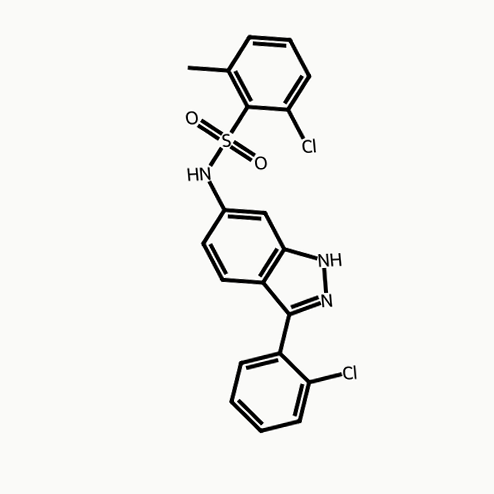 Cc1cccc(Cl)c1S(=O)(=O)Nc1ccc2c(-c3ccccc3Cl)n[nH]c2c1